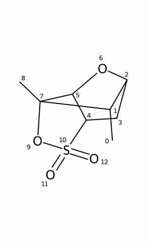 CC1C2CC3C(O2)C1(C)OS3(=O)=O